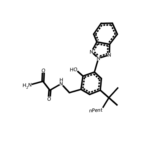 CCCCCC(C)(C)c1cc(CNC(=O)C(N)=O)c(O)c(-n2nc3ccccc3n2)c1